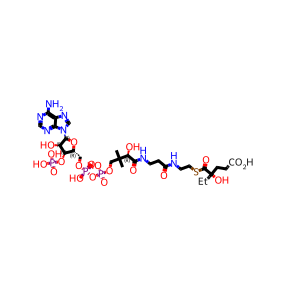 CCC(O)(CCC(=O)O)C(=O)SCCNC(=O)CCNC(=O)[C@H](O)C(C)(C)COP(=O)(O)OP(=O)(O)OC[C@H]1O[C@@H](n2cnc3c(N)ncnc32)[C@H](O)[C@@H]1OP(=O)(O)O